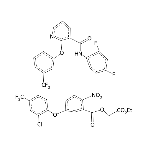 CCOC(=O)COC(=O)c1cc(Oc2ccc(C(F)(F)F)cc2Cl)ccc1[N+](=O)[O-].O=C(Nc1ccc(F)cc1F)c1cccnc1Oc1cccc(C(F)(F)F)c1